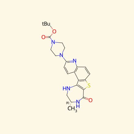 C[C@@H]1CNc2c(sc3ccc4nc(N5CCN(C(=O)OC(C)(C)C)CC5)ccc4c23)C(=O)N1